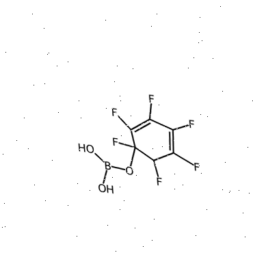 OB(O)OC1(F)C(F)=C(F)C(F)=C(F)C1F